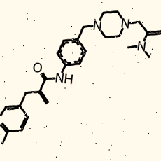 C=C(C)/C=C\C(=C/C)CC(=C)C(=O)Nc1ccc(CN2CCN(CC(=C)N(C)C)CC2)cc1